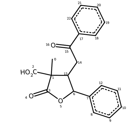 CC1(C(=O)O)C(=O)OC(c2ccccc2)C1CC(=O)c1ccccc1